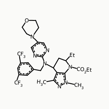 CCOC(=O)N1c2c(c(C)nn2C)C(N(Cc2cc(C(F)(F)F)cc(C(F)(F)F)c2)c2ncc(N3CCOCC3)cn2)CC1CC